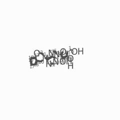 OC[C@H]1O[C@@H](n2cnc3c(N4CCOc5ccccc5C4)ncnc32)[C@H](O)[C@@H]1O